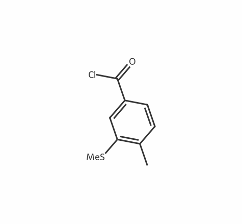 CSc1cc(C(=O)Cl)ccc1C